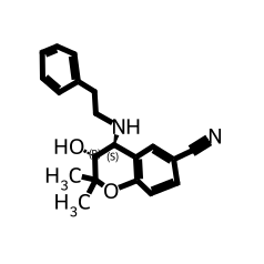 CC1(C)Oc2ccc(C#N)cc2[C@H](NCCc2ccccc2)[C@H]1O